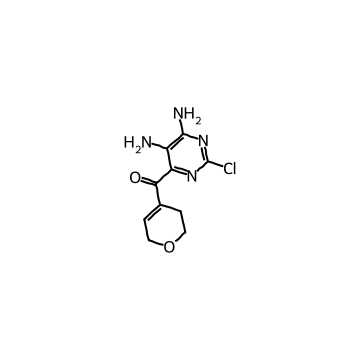 Nc1nc(Cl)nc(C(=O)C2=CCOCC2)c1N